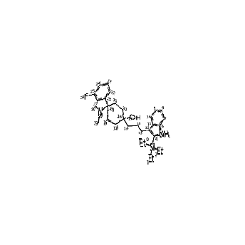 CC[Si](CC)(CC)c1[nH]c2ccccc2c1CCCC1(O)CCC(c2cccc(F)c2)(N(C)C)CC1